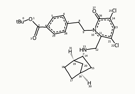 CC(C)(C)OC(=O)c1ccc(CCn2c(CN[C@@H]3C[C@H]4CC[C@@H]3C4)c(Cl)cc(Cl)c2=O)cc1